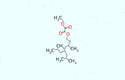 CCOC(=O)C(=O)OCCC(C)CC(CC(C)C)CC(C)C